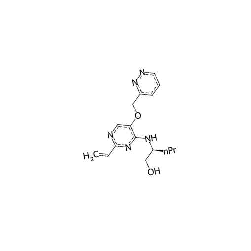 C=Cc1ncc(OCc2cccnn2)c(N[C@H](CO)CCC)n1